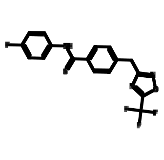 Fc1ccc(NC(=S)c2ccc(Cc3noc(C(F)(F)F)n3)cc2)cc1